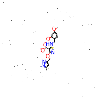 COC(=O)c1c(OCc2cc(C)n(C)n2)nsc1NCc1ccc(OC)cc1OC